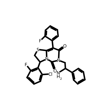 NC(Cn1c(=O)c(-c2ccccc2F)c2n(c1=O)C(c1c(F)cccc1Cl)CS2)c1ccccc1